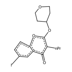 CCCc1c(OC2CCOCC2)oc2ccc(I)cc2c1=O